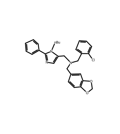 CCCCn1c(CN(Cc2ccc3c(c2)OCO3)Cc2ccccc2Cl)cnc1-c1ccccc1